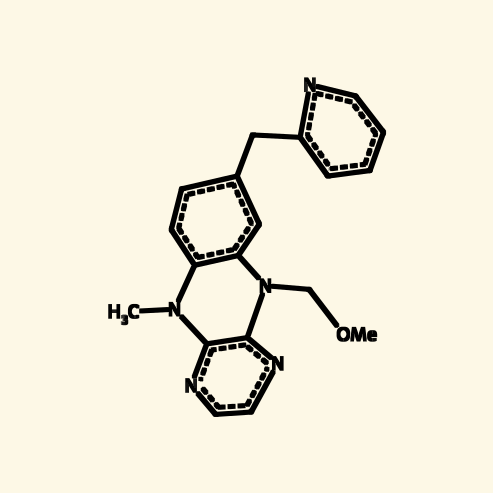 COCN1c2cc(Cc3ccccn3)ccc2N(C)c2nccnc21